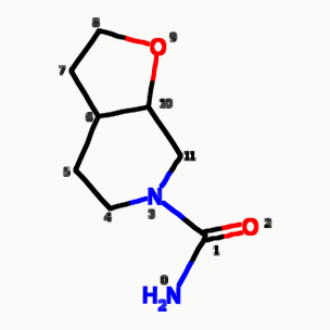 NC(=O)N1CCC2CCOC2C1